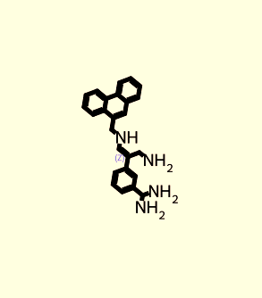 NC/C(=C\NCc1cc2ccccc2c2ccccc12)c1cccc(C(N)N)c1